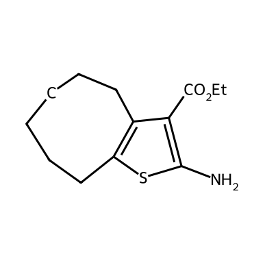 CCOC(=O)c1c(N)sc2c1CCCCCC2